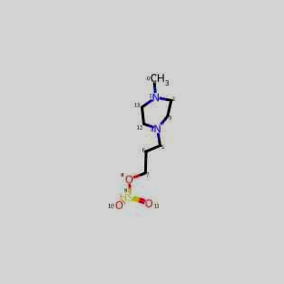 CN1CCN(CCCO[SH](=O)=O)CC1